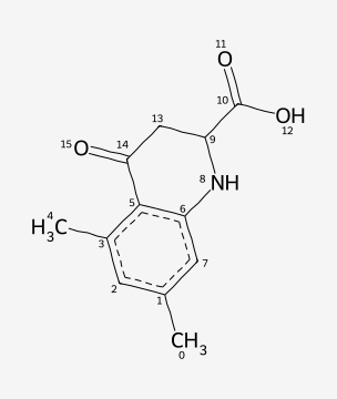 Cc1cc(C)c2c(c1)NC(C(=O)O)CC2=O